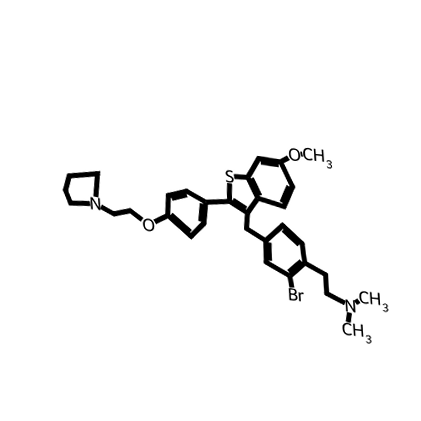 COc1ccc2c(Cc3ccc(CCN(C)C)c(Br)c3)c(-c3ccc(OCCN4CCCC4)cc3)sc2c1